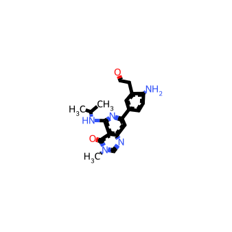 CC(C)Nc1nc(-c2ccc(N)c(CC=O)c2)cc2ncn(C)c(=O)c12